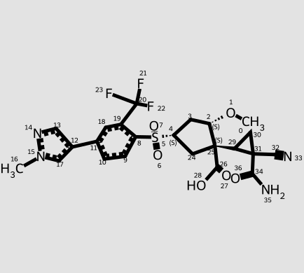 CO[C@H]1C[C@@H](S(=O)(=O)c2ccc(-c3cnn(C)c3)cc2C(F)(F)F)C[C@]1(C(=O)O)C1CC1(C#N)C(N)=O